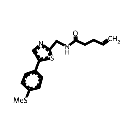 C=CCCC(=O)NCc1ncc(-c2ccc(SC)cc2)s1